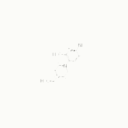 CCN1CCN(c2ccc(N)nc2C)CC1